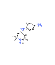 CC1(C)CC(Nc2ccc(N)cc2)CC(C)(C)N1